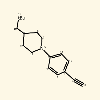 C#Cc1ccc(N2CCC(CC(C)(C)C)CC2)cc1